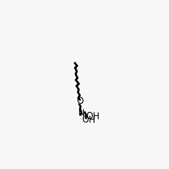 CCCCCCCCCCCCCOCCCN(C)CC(O)O